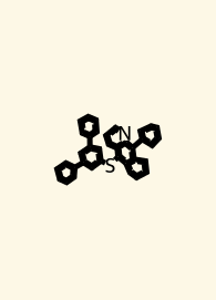 c1ccc(-c2cc(Sc3c4ccccc4c(-c4ccccc4)c4ncccc34)cc(-c3ccccc3)c2)cc1